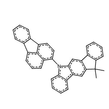 CC1(C)c2ccccc2-c2cc3c(cc21)c1ccccc1n3-c1ccc2c3c(cccc13)-c1ccccc1-2